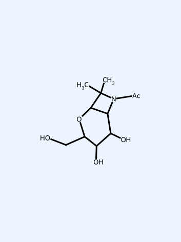 CC(=O)N1C2C(O)C(O)C(CO)OC2C1(C)C